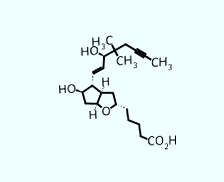 CC#CCC(C)(C)[C@H](O)C=C[C@@H]1[C@H]2C[C@H](CCCCC(=O)O)O[C@H]2C[C@H]1O